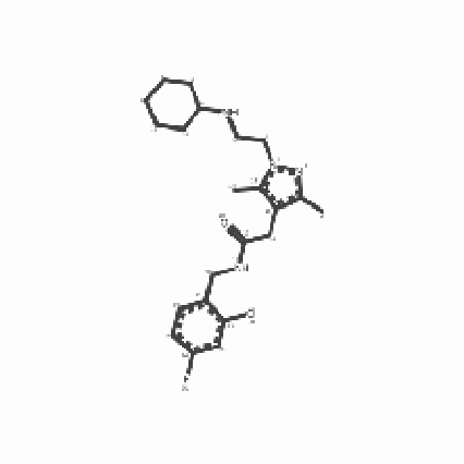 Cc1nn(CCNC2CCCCC2)c(C)c1CC(=O)NCc1ccc(F)cc1Cl